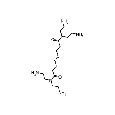 NCCN(CCN)C(=O)CCSSCCC(=O)N(CCN)CCN